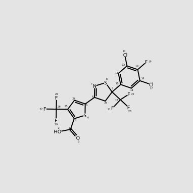 O=C(O)c1sc(C2=NSC(c3cc(Cl)c(F)c(Cl)c3)(C(F)(F)F)C2)cc1C(F)(F)F